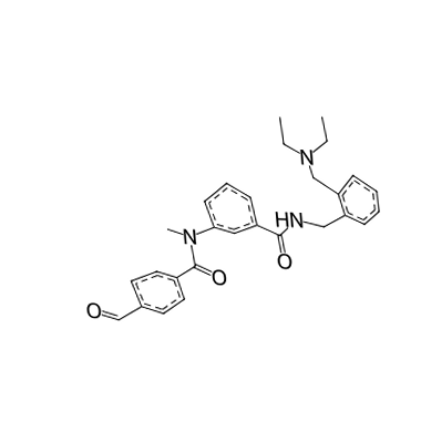 CCN(CC)Cc1ccccc1CNC(=O)c1cccc(N(C)C(=O)c2ccc(C=O)cc2)c1